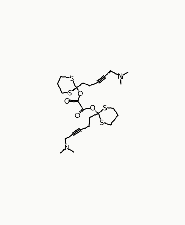 CN(C)CC#CCCC1(OC(=O)C(=O)OC2(CCC#CCN(C)C)SCCCS2)SCCCS1